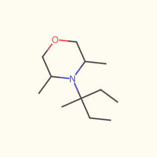 CCC(C)(CC)N1C(C)COCC1C